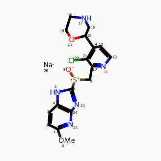 COc1ccc2[nH]c([S+]([O-])Cc3nccc(C4CNCCO4)c3Cl)nc2n1.[Na]